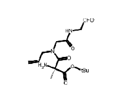 C=CCN(CC(=O)NC[C]=O)C(=O)[C@](C)(N)C(=O)OC(C)(C)C